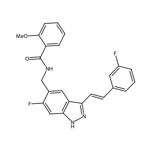 COc1ccccc1C(=O)NCc1cc2c(/C=C/c3cccc(F)c3)n[nH]c2cc1F